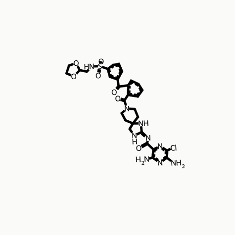 Nc1nc(N)c(C(=O)/N=C2\NCC3(CCN(C(=O)c4ccccc4C(=O)c4cccc(S(=O)(=O)NCC5OCCO5)c4)CC3)N2)nc1Cl